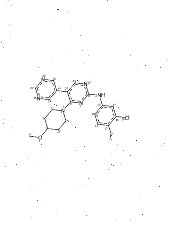 COC1CCN(c2nc(Nc3ccc(F)c(Cl)c3)ncc2-c2cncnc2)CC1